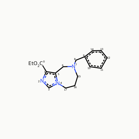 CCOC(=O)c1ncn2c1CN(Cc1ccccc1)CCC2